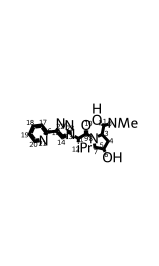 CNC(O)C1CC(O)CN1C(=O)C(C(C)C)n1cc(-c2ccccn2)nn1